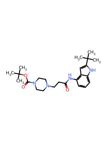 CC(C)(C)OC(=O)N1CCN(CCC(=O)Nc2cccc3[nH]c(C(C)(C)C)cc23)CC1